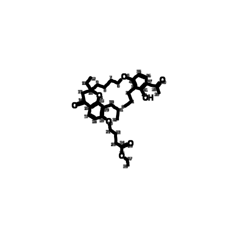 CCCc1c(OCCCCC2(CC)CC(=O)c3ccc(OCCCC(=O)OCC)c(CCC)c3O2)ccc(C(C)=O)c1O